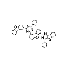 c1ccc(-c2nc(-c3ccc4oc5ccccc5c4c3)nc(-c3cccc4oc5c(-c6nc(-c7ccccc7)c7sc8ccccc8c7n6)cccc5c34)n2)cc1